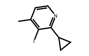 Cc1ccnc(C2CC2)c1I